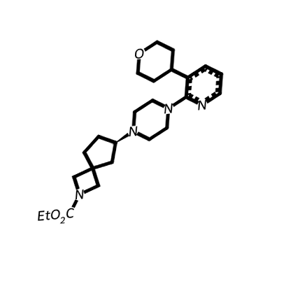 CCOC(=O)N1CC2(CC[C@@H](N3CCN(c4ncccc4C4CCOCC4)CC3)C2)C1